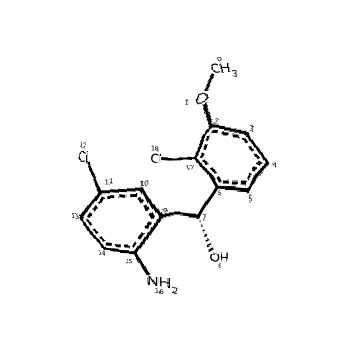 COc1cccc([C@H](O)c2cc(Cl)ccc2N)c1Cl